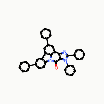 O=c1c2c(nc(-c3ccccc3)n2-c2ccccc2)c2cc(-c3ccccc3)cc3c4cc(-c5ccccc5)ccc4n1c32